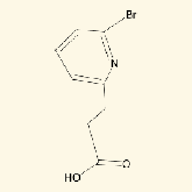 O=C(O)CCc1cccc(Br)n1